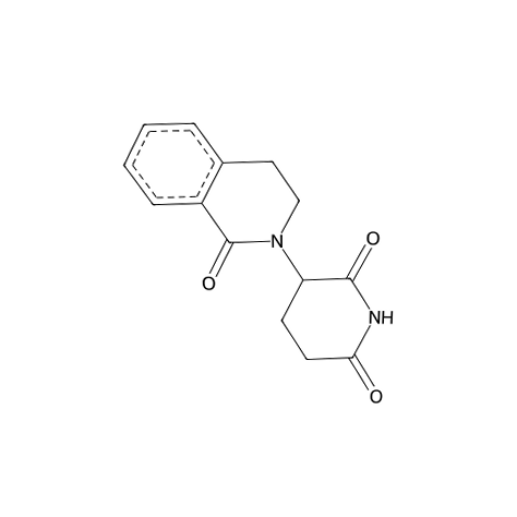 O=C1CCC(N2CCc3ccccc3C2=O)C(=O)N1